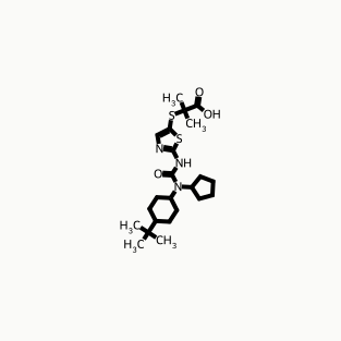 CC(C)(Sc1cnc(NC(=O)N(C2CCCC2)C2CCC(C(C)(C)C)CC2)s1)C(=O)O